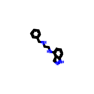 c1ccc(CNCCNc2cccc3[nH]ncc23)cc1